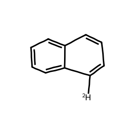 [2H]c1cccc2ccccc12